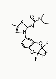 CCN(C)C(=O)N=c1sc(C)cn1-c1ccc2c(c1)OC(F)(F)C(F)(F)O2